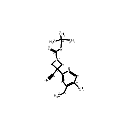 CCc1cc(C2(C#N)CN(C(=O)OC(C)(C)C)C2)ncc1N